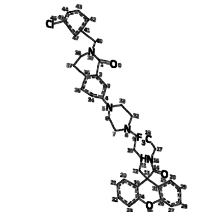 O=C1c2cc(N3CCN(CCCCC4(C(=O)NCC(F)(F)F)c5ccccc5Oc5ccccc54)CC3)ccc2CCN1Cc1cccc(Cl)c1